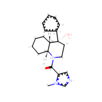 Cn1cncc1C(=O)N1CC[C@](O)(c2ccccc2)[C@H]2CCCC[C@H]21